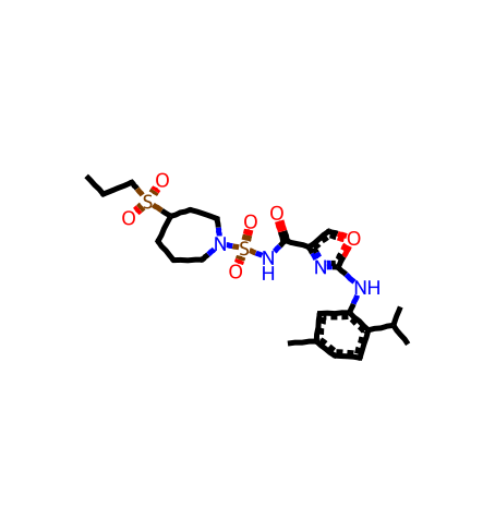 CCCS(=O)(=O)C1CCCN(S(=O)(=O)NC(=O)c2coc(Nc3cc(C)ccc3C(C)C)n2)CC1